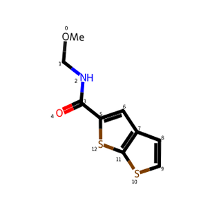 COCNC(=O)c1cc2ccsc2s1